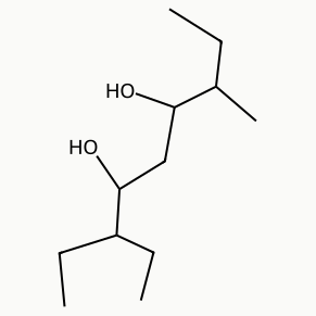 CCC(C)C(O)CC(O)C(CC)CC